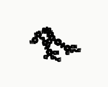 CC(C)(c1ccc(OCc2cnc(NS(C)(=O)=O)nc2N2CCN(CC(C)(c3ccc(OCc4cncnc4N4CCNCC4)cc3)c3cc(Cl)c(OCCCl)c(C#N)c3)CC2)cc1)c1cc(Cl)c(OCCCl)c(C#N)c1